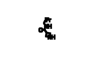 CC(C)CNC(=O)C1CNC1